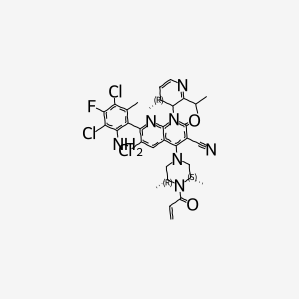 C=CC(=O)N1[C@H](C)CN(c2c(C#N)c(=O)n(C3C(C(C)C)=NC=C[C@H]3C)c3nc(-c4c(C)c(Cl)c(F)c(Cl)c4N)c(Cl)cc23)C[C@@H]1C